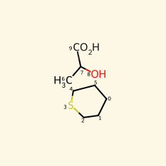 C1CCSCC1.CC(O)C(=O)O